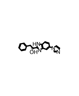 O[C@H](Cc1ccccc1)c1nc2cc(-n3ccnc3)ccc2[nH]1